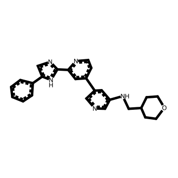 c1ccc(-c2cnc(-c3cc(-c4cncc(NCC5CCOCC5)c4)ccn3)[nH]2)cc1